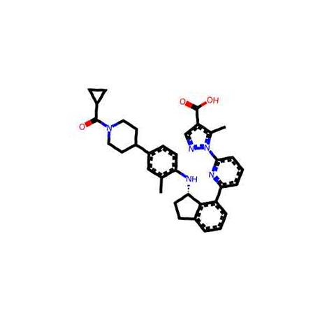 Cc1cc(C2CCN(C(=O)C3CC3)CC2)ccc1N[C@H]1CCc2cccc(-c3cccc(-n4ncc(C(=O)O)c4C)n3)c21